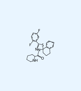 O=C(C1CCCCN1)N1N=C(c2cc(F)ccc2F)SC12CCCc1ccccc12